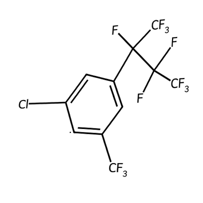 FC(F)(F)c1[c]c(Cl)cc(C(F)(C(F)(F)F)C(F)(F)C(F)(F)F)c1